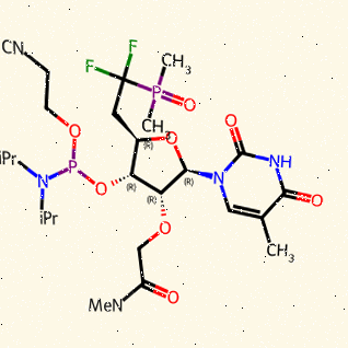 [C-]#[N+]CCOP(O[C@H]1[C@@H](OCC(=O)NC)[C@H](n2cc(C)c(=O)[nH]c2=O)O[C@@H]1CC(F)(F)P(C)(C)=O)N(C(C)C)C(C)C